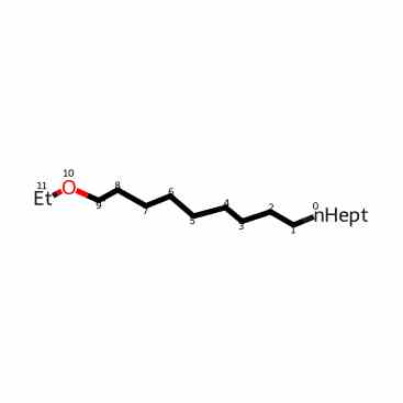 CCCCCCCCCCCCCCC[CH]OCC